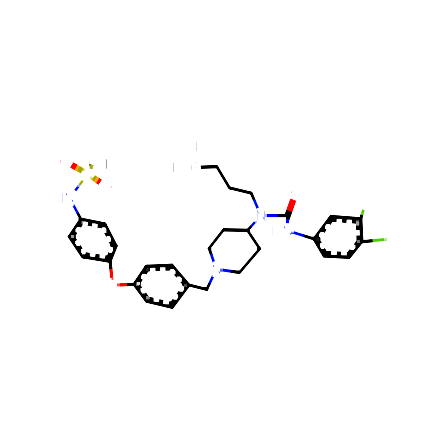 CCCCN(C(=O)Nc1ccc(F)c(F)c1)C1CCN(Cc2ccc(Oc3ccc(NS(C)(=O)=O)cc3)cc2)CC1.Cl